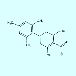 CCC(=O)C1=C(O)CC(c2c(C)cc(C)cc2C)CC1C=O